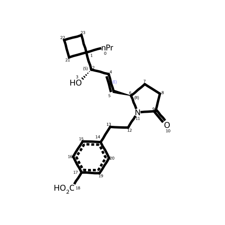 CCCC1([C@@H](O)/C=C/[C@H]2CCC(=O)N2CCc2ccc(C(=O)O)cc2)CCC1